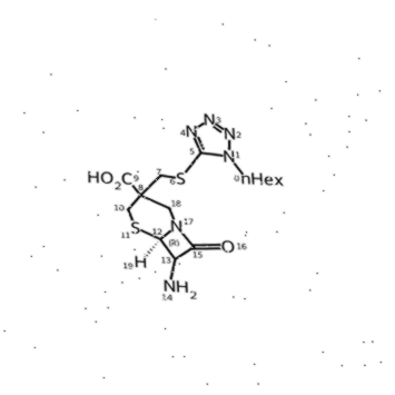 CCCCCCn1nnnc1SCC1(C(=O)O)CS[C@@H]2C(N)C(=O)N2C1